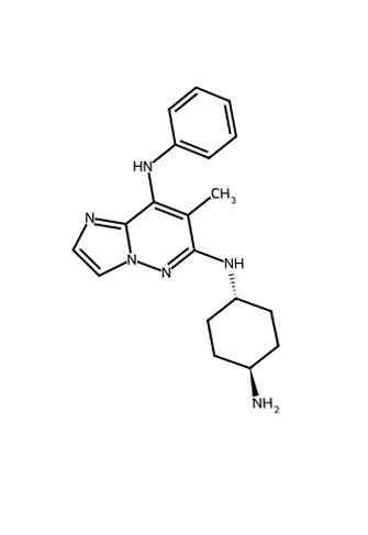 Cc1c(N[C@H]2CC[C@H](N)CC2)nn2ccnc2c1Nc1ccccc1